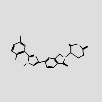 COc1ccc(C#N)cc1-c1nc(-c2ccc3c(c2)CN(C2CCC(=O)NC2=O)C3=O)cn1C